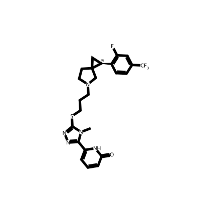 Cn1c(SCCCN2CCC3(C[C@H]3c3ccc(C(F)(F)F)cc3F)C2)nnc1-c1cccc(=O)[nH]1